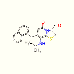 CC(C)Nc1c(Cc2cccc3ccccc23)cc(=O)n2c1SCC2C=O